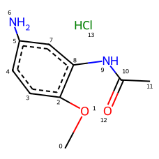 COc1ccc(N)cc1NC(C)=O.Cl